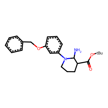 CC(C)(C)OC(=O)C1CCCN(c2cccc(OCc3ccccc3)c2)C1N